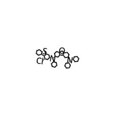 Clc1cc(N(c2ccccc2)c2ccc3oc4ccc(N(c5ccccc5)c5ccccc5)cc4c3c2)cc2sc3ccccc3c12